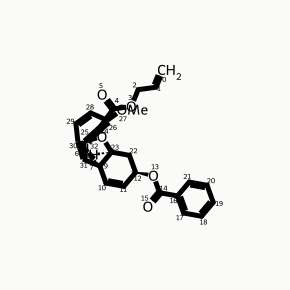 C=CCOC(=O)N1CC[C@@]23C=C[C@H](OC(=O)c4ccccc4)C[C@@H]2Oc2c(OC)ccc(c23)C1